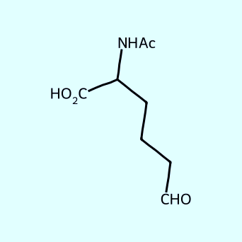 CC(=O)NC(CCCC=O)C(=O)O